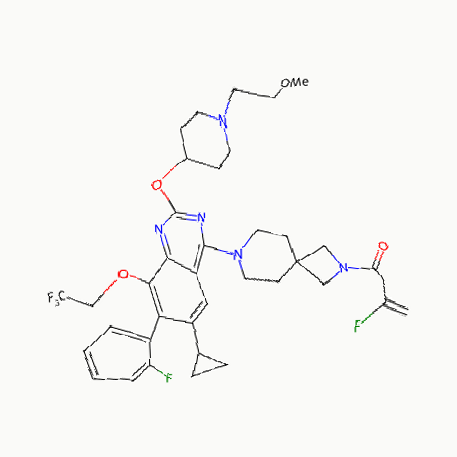 C=C(F)C(=O)N1CC2(CCN(c3nc(OC4CCN(CCOC)CC4)nc4c(OCC(F)(F)F)c(-c5ccccc5F)c(C5CC5)cc34)CC2)C1